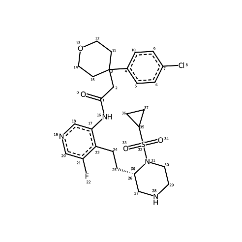 O=C(CC1(c2ccc(Cl)cc2)CCOCC1)Nc1cncc(F)c1CC[C@H]1CNCCN1S(=O)(=O)C1CC1